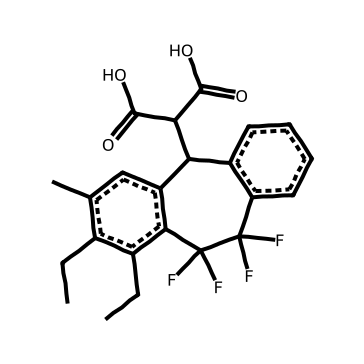 CCc1c(C)cc2c(c1CC)C(F)(F)C(F)(F)c1ccccc1C2C(C(=O)O)C(=O)O